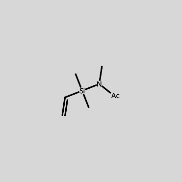 C=C[Si](C)(C)N(C)C(C)=O